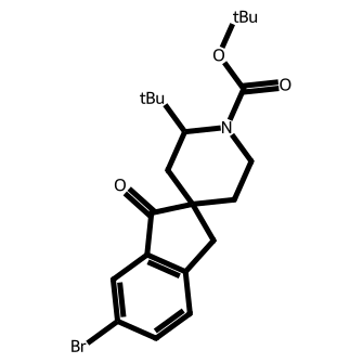 CC(C)(C)OC(=O)N1CCC2(Cc3ccc(Br)cc3C2=O)CC1C(C)(C)C